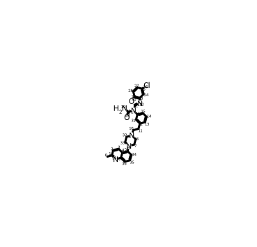 Cc1ccc2c(N3CCN(CCc4cccc(N(C(N)=O)c5nc6cc(Cl)ccc6o5)c4)CC3)cccc2n1